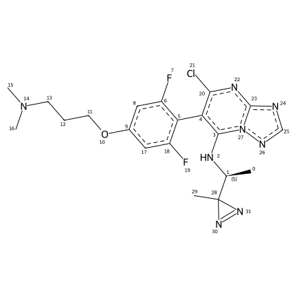 C[C@H](Nc1c(-c2c(F)cc(OCCCN(C)C)cc2F)c(Cl)nc2ncnn12)C1(C)N=N1